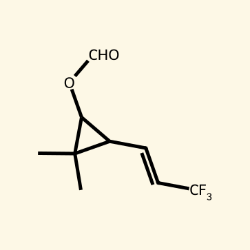 CC1(C)C(C=CC(F)(F)F)C1OC=O